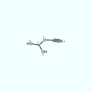 N#CON(O)O